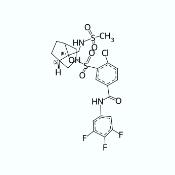 CS(=O)(=O)NC[C@@]1(O)C2CC[C@H]1CC(S(=O)(=O)c1cc(C(=O)Nc3cc(F)c(F)c(F)c3)ccc1Cl)C2